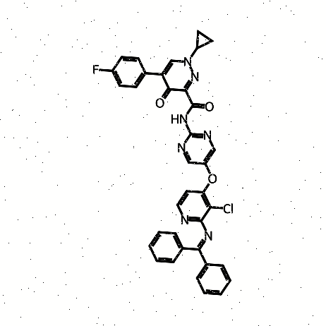 O=C(Nc1ncc(Oc2ccnc(N=C(c3ccccc3)c3ccccc3)c2Cl)cn1)c1nn(C2CC2)cc(-c2ccc(F)cc2)c1=O